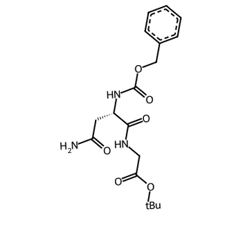 CC(C)(C)OC(=O)CNC(=O)[C@H](CC(N)=O)NC(=O)OCc1ccccc1